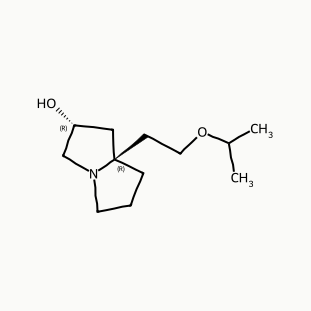 CC(C)OCC[C@@]12CCCN1C[C@H](O)C2